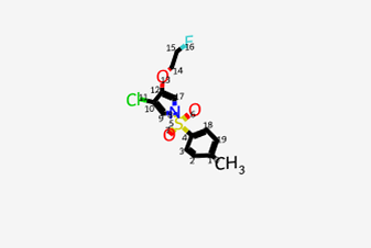 Cc1ccc(S(=O)(=O)n2cc(Cl)c(OCCF)c2)cc1